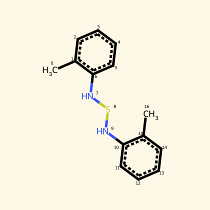 Cc1ccccc1NSNc1ccccc1C